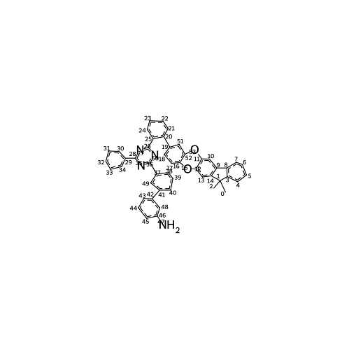 CC1(C)c2ccccc2-c2cc3c(cc21)Oc1ccc(-c2ccccc2-c2nc(-c4ccccc4)nc(-c4cccc(-c5cccc(N)c5)c4)n2)cc1O3